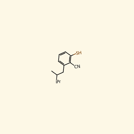 CC(C)C(C)Cc1cccc(S)c1C#N